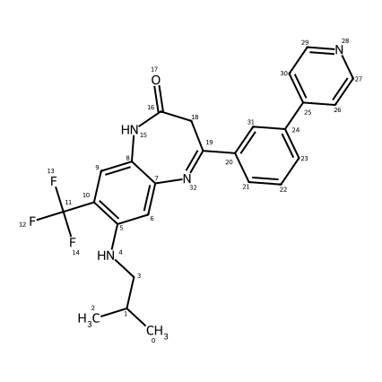 CC(C)CNc1cc2c(cc1C(F)(F)F)NC(=O)CC(c1cccc(-c3ccncc3)c1)=N2